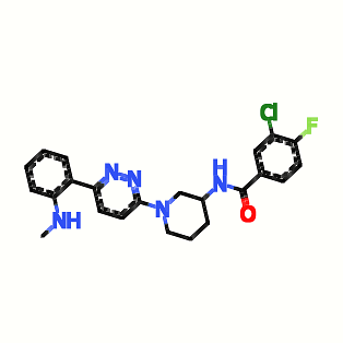 CNc1ccccc1-c1ccc(N2CCCC(NC(=O)c3ccc(F)c(Cl)c3)C2)nn1